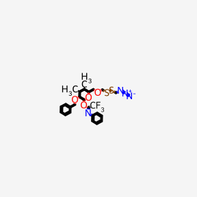 C[C@@H]1C(COCSSCN=[N+]=[N-])OC(O/C(=N/c2ccccc2)C(F)(F)F)C(OCc2ccccc2)[C@H]1C